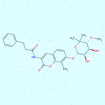 CO[C@@H]1[C@@H](O)[C@@H](O)[C@H](Oc2ccc3cc(NC(=O)CCc4ccccc4)c(=O)oc3c2C)OC1(C)C